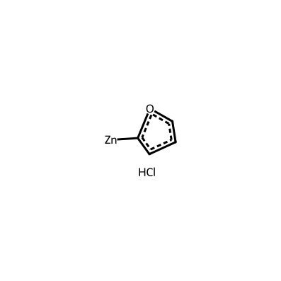 Cl.[Zn][c]1ccco1